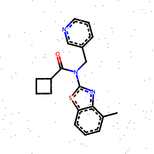 Cc1cccc2sc(N(Cc3cccnc3)C(=O)C3CCC3)nc12